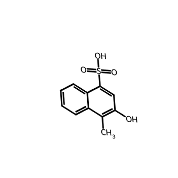 Cc1c(O)cc(S(=O)(=O)O)c2ccccc12